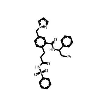 CC(C)CC(NC(=O)c1cc(Cn2cccn2)ccc1CCC(=O)NS(=O)(=O)c1ccccc1)c1ccccc1